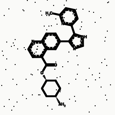 Cc1cccc(-c2[nH]cnc2-c2ccc3nccc(C(=O)O[C@H]4CC[C@@H](N)CC4)c3c2)n1